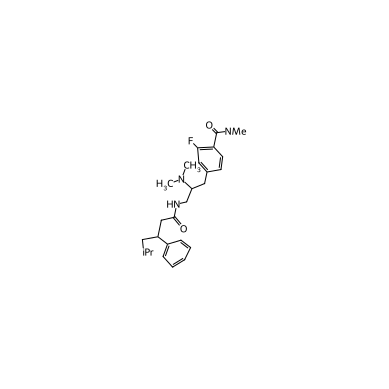 CNC(=O)c1ccc(CC(CNC(=O)CC(CC(C)C)c2ccccc2)N(C)C)cc1F